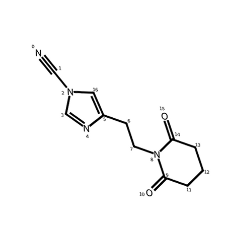 N#Cn1cnc(CCN2C(=O)CCCC2=O)c1